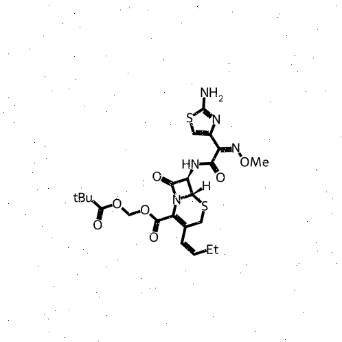 CC/C=C\C1=C(C(=O)OCOC(=O)C(C)(C)C)N2C(=O)[C@@H](NC(=O)/C(=N\OC)c3csc(N)n3)[C@@H]2SC1